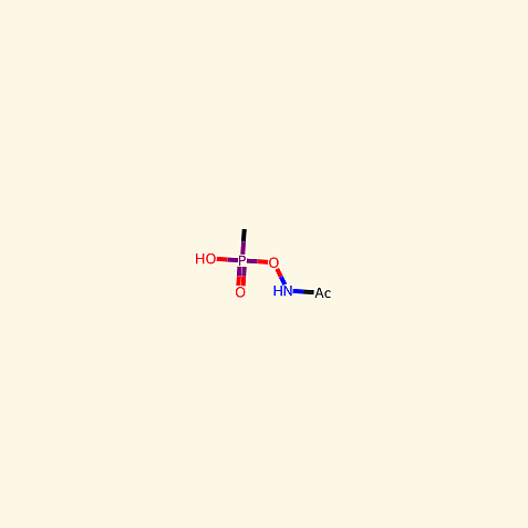 CC(=O)NOP(C)(=O)O